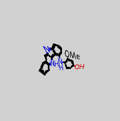 COc1cc(O)ccc1Nc1cccc2nc3cc4ccccc4[nH]c-3c12